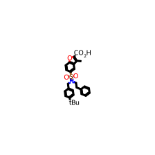 Cc1c(C(=O)O)oc2ccc(S(=O)(=O)N(CCc3ccccc3)Cc3ccc(C(C)(C)C)cc3)cc12